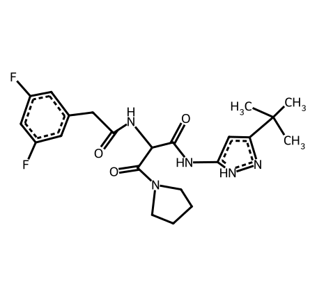 CC(C)(C)c1cc(NC(=O)C(NC(=O)Cc2cc(F)cc(F)c2)C(=O)N2CCCC2)[nH]n1